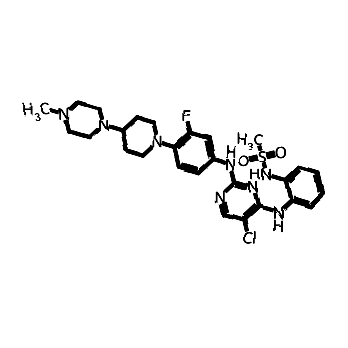 CN1CCN(C2CCN(c3ccc(Nc4ncc(Cl)c(Nc5ccccc5NS(C)(=O)=O)n4)cc3F)CC2)CC1